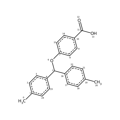 Cc1ccc(C(Oc2ccc(C(=O)O)cc2)c2ccc(C)cc2)cc1